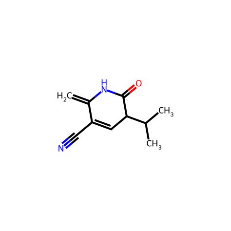 C=C1NC(=O)C(C(C)C)C=C1C#N